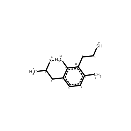 Cc1ccc(CC(C)S)c(C)c1CCS